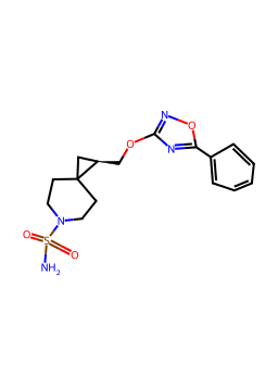 NS(=O)(=O)N1CCC2(CC1)C[C@H]2COc1noc(-c2ccccc2)n1